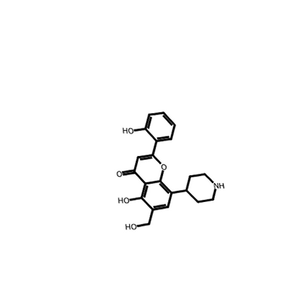 O=c1cc(-c2ccccc2O)oc2c(C3CCNCC3)cc(CO)c(O)c12